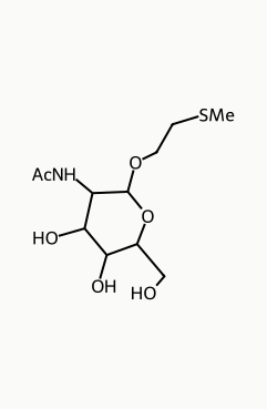 CSCCOC1OC(CO)C(O)C(O)C1NC(C)=O